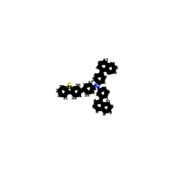 c1cc(-c2cccc3ccccc23)cc(N(c2ccc(-c3ccc4c(c3)sc3ccccc34)cc2)c2ccc(-c3cccc4ccccc34)cc2)c1